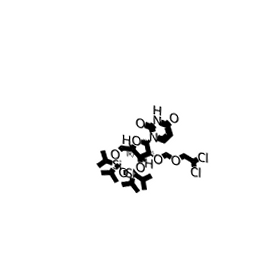 CC(C)[Si]1(C(C)C)OC[C@H]2O[C@@H](n3ccc(=O)[nH]c3=O)[C@H](OCOCC(Cl)Cl)[C@@H]2O[Si](C(C)C)(C(C)C)O1